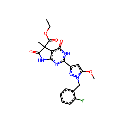 CCOC(=O)C1(C)C(=O)Nc2nc(-c3cc(OC)n(Cc4ccccc4F)n3)[nH]c(=O)c21